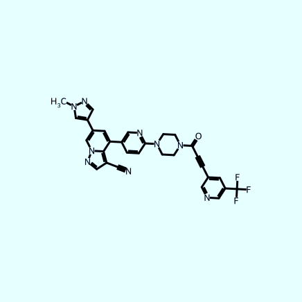 Cn1cc(-c2cc(-c3ccc(N4CCN(C(=O)C#Cc5cncc(C(F)(F)F)c5)CC4)nc3)c3c(C#N)cnn3c2)cn1